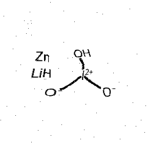 [LiH].[O-][I+2]([O-])O.[Zn]